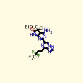 CCOC(=O)C1(C)C(=O)Nc2nc(-c3cn4ncnc4c(CCC(F)(F)C(F)(F)F)n3)nc(N)c21